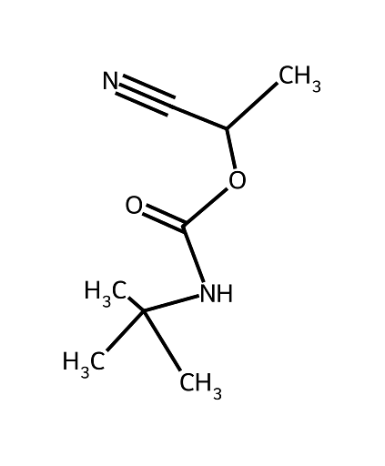 CC(C#N)OC(=O)NC(C)(C)C